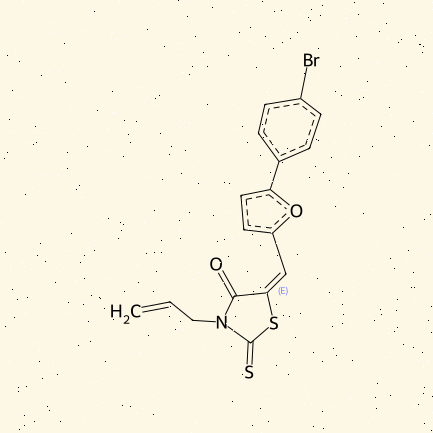 C=CCN1C(=O)/C(=C\c2ccc(-c3ccc(Br)cc3)o2)SC1=S